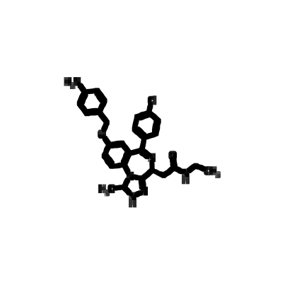 CCNC(=O)C[C@@H]1N=C(c2ccc(Cl)cc2)c2cc(OCc3ccc(N)cc3)ccc2N2C1=NNC2C